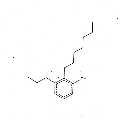 CCCCCCCc1c(O)cccc1CCC